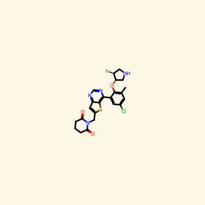 Cc1cc(Cl)cc(-c2ncnc3cc(CN4C(=O)CCCC4=O)sc23)c1O[C@@H]1CNC[C@@H]1F